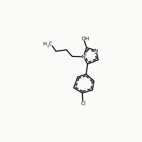 CCCCn1c(-c2ccc(Cl)cc2)cnc1O